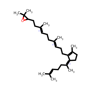 CC(C)=CCC/C(C)=C1/CCC(C)=C1CC/C=C(\C)CC/C=C(\C)CCC1OC1(C)C